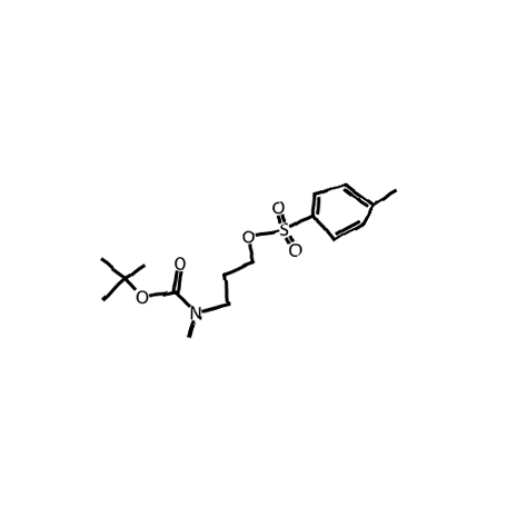 Cc1ccc(S(=O)(=O)OCCCN(C)C(=O)OC(C)(C)C)cc1